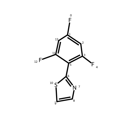 Fc1cc(F)c(-c2nc[c]s2)c(F)c1